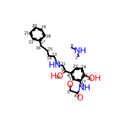 CNC.O=C1COc2c(C(O)CNCCCCc3ccccc3)ccc(O)c2N1